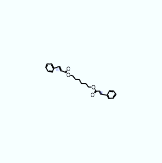 O=C(/C=C/c1ccccc1)OCCCCCCOC(=O)/C=C/c1ccccc1